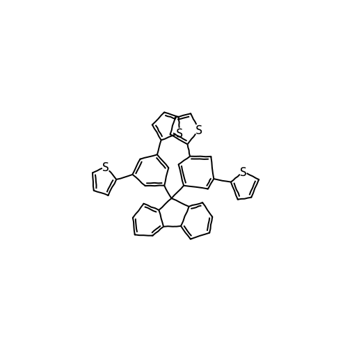 c1csc(-c2cc(-c3cccs3)cc(C3(c4cc(-c5cccs5)cc(-c5cccs5)c4)c4ccccc4-c4ccccc43)c2)c1